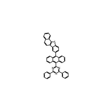 c1ccc(-c2nc(-c3ccccc3)nc(-c3c4ccccc4c(-c4ccc5sc6c7ccccc7ccc6c5c4)c4ccccc34)n2)cc1